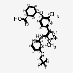 Cc1nc(-c2nnn(C)c2Nc2nccc(OCC(F)(F)F)n2)ccc1O[C@H]1CCC[C@H](C(=O)O)C1